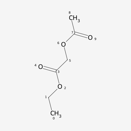 CCOC(=O)COC(C)=O